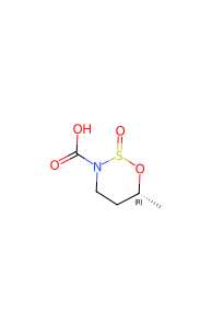 C[C@@H]1CCN(C(=O)O)S(=O)O1